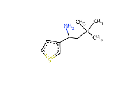 CC(C)(C)CC(N)c1ccsc1